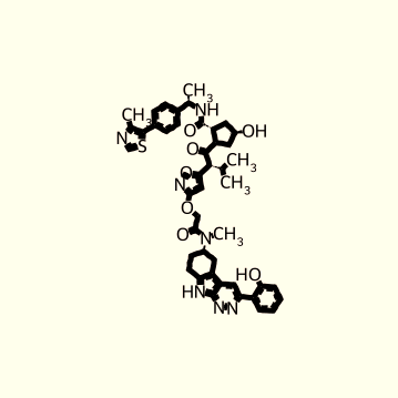 Cc1ncsc1-c1ccc([C@H](C)NC(=O)[C@@H]2C[C@@H](O)CC2C(=O)[C@@H](c2cc(OCC(=O)N(C)[C@H]3CCc4[nH]c5nnc(-c6ccccc6O)cc5c4C3)no2)C(C)C)cc1